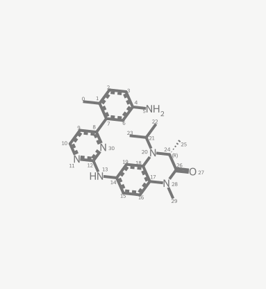 Cc1ccc(N)cc1-c1ccnc(Nc2ccc3c(c2)N(C(C)C)[C@H](C)C(=O)N3C)n1